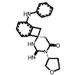 N=C1N[C@]2(CC(=O)N1[C@@H]1CCOC1)Cc1c(Nc3ccccc3)cccc12